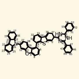 C1=c2sc3c(-c4cccc5oc6cc(-n7c8ccccc8c8ccccc87)ccc6c45)cccc3c2=CCC1C1N=C(c2ccccc2)NC(c2ccccc2)N1